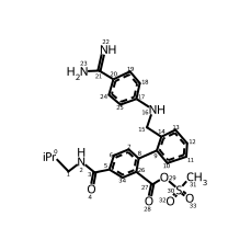 CC(C)CNC(=O)c1ccc(-c2ccccc2CNc2ccc(C(=N)N)cc2)c(C(=O)OS(C)(=O)=O)c1